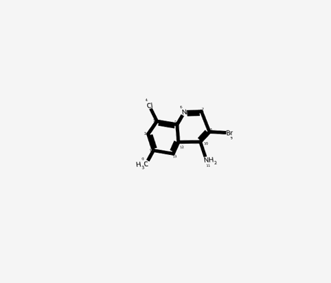 Cc1cc(Cl)c2ncc(Br)c(N)c2c1